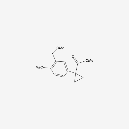 COCc1cc(C2(C(=O)OC)CC2)ccc1OC